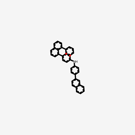 c1ccc(-c2cccc3cccc(-c4ccc(Nc5ccc(-c6ccc7ccccc7c6)cc5)cc4)c23)cc1